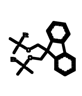 CC[Si](C)(C)OCC1(CO[Si](C)(C)CC)c2ccccc2-c2ccccc21